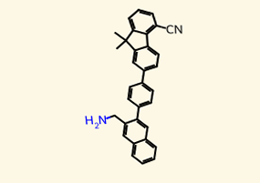 CC1(C)c2cc(-c3ccc(-c4cc5ccccc5cc4CN)cc3)ccc2-c2c(C#N)cccc21